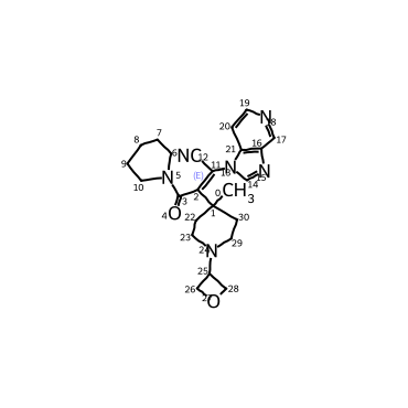 CC1(/C(C(=O)N2CCCCC2)=C(/C#N)n2cnc3cnccc32)CCN(C2COC2)CC1